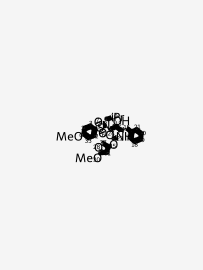 COc1ccc(S(=O)(=O)N(CC(C)C)C[C@@H](O)[C@H](Cc2ccccc2)NC(=O)O[C@H]2CO[C@@H](OC)C2)cc1